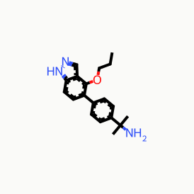 CCCOc1c(-c2ccc(C(C)(C)N)cc2)ccc2[nH]ncc12